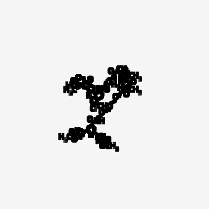 CC[C@@]1(O)C(=O)OCc2c1cc1n(c2=O)Cc2c-1nc1cc(Cl)c(C)c3c1c2[C@@H](NC(=O)COCNC(=O)[C@H](C)NC(=O)[C@H](C)NC(=O)[C@H](C)NC(=O)CCOCCOCCOCCNC(=O)c1cc(-c2cnc(S(C)(=O)=O)nc2)nc(-c2cnc(S(C)(=O)=O)nc2)c1)CC3